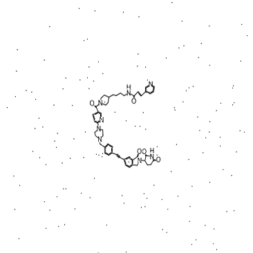 O=C(/C=C/c1cccnc1)NCCCCC1CCN(C(=O)c2ccc(N3CCN(Cc4ccc(C#Cc5ccc6c(c5)C(=O)N(C5CCC(=O)NC5=O)C6)cc4)CC3)nc2)CC1